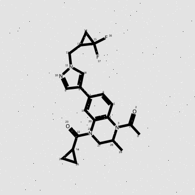 CC(=O)N1c2ccc(-c3cnn(CC4CC4(F)F)c3)cc2N(C(=O)C2CC2)CC1C